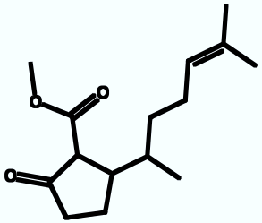 COC(=O)C1C(=O)CCC1C(C)CCC=C(C)C